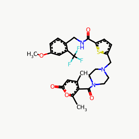 COc1ccc(CNC(=O)c2ccc(CN3CCN(C(=O)c4c(C)cc(=O)oc4C)CC3)s2)c(C(F)(F)F)c1